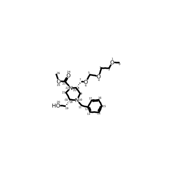 COCCOCOC[C@@H]1CN(Cc2ccccc2)[C@H](CO)CN1C(=O)OC